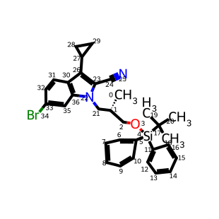 C[C@H](CO[Si](c1ccccc1)(c1ccccc1)C(C)(C)C)Cn1c(C#N)c(C2CC2)c2ccc(Br)cc21